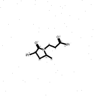 CC(C)C(=O)CCN1C(=O)C(C(C)C)CC1C